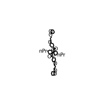 CCCC1CCC(OC(=O)C2CCC(OCCCOC3CCCCO3)CC2)(C2(OC(=O)C3CCC(OCCCOC4CCCCO4)CC3)CCC(CCC)CC2)CC1